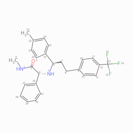 CNC(=O)[C@H](N[C@H](CCc1ccc(C(F)(F)F)cc1)c1ccc(C)cc1)c1ccccc1